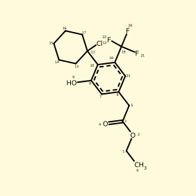 CCOC(=O)Cc1cc(O)c(C2(Cl)CCCCC2)c(C(F)(F)F)c1